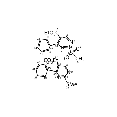 CCOC(=O)c1cnc(S(C)(=O)=O)nc1-c1ccccc1.CCOC(=O)c1cnc(SC)nc1-c1ccccc1